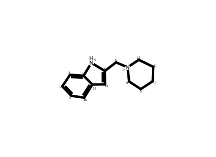 c1ccc2[nH]c(CN3CCCCC3)cc2c1